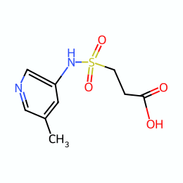 Cc1cncc(NS(=O)(=O)CCC(=O)O)c1